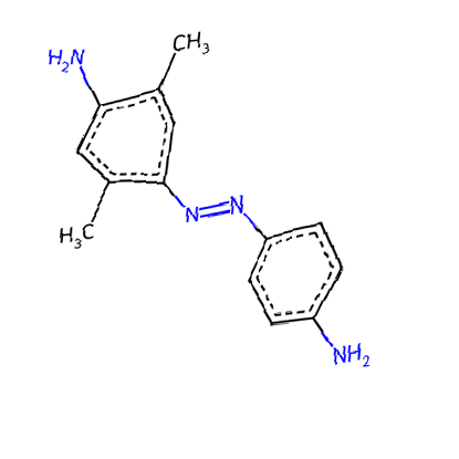 Cc1cc(N=Nc2ccc(N)cc2)c(C)cc1N